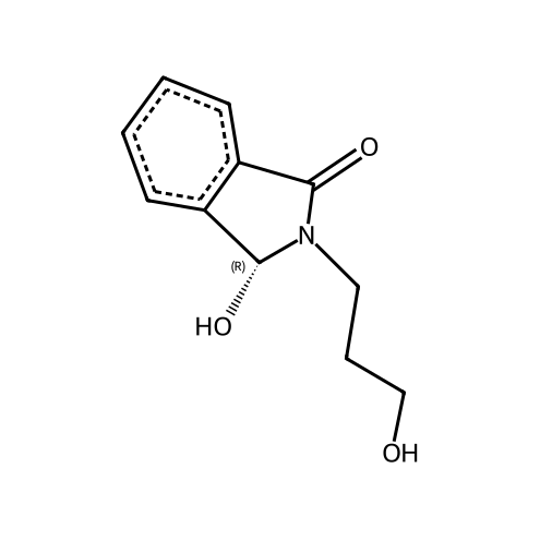 O=C1c2ccccc2[C@@H](O)N1CCCO